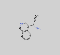 C#CC(N)c1cncc2ccccc12